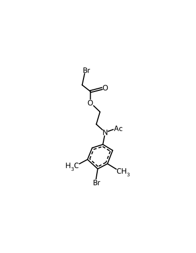 CC(=O)N(CCOC(=O)CBr)c1cc(C)c(Br)c(C)c1